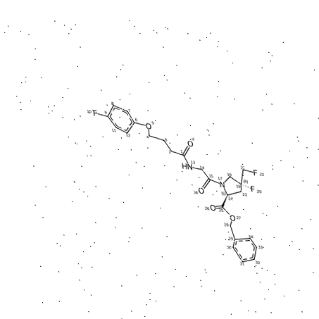 O=C(CCCOc1ccc(F)cc1)NCC(=O)N1C[C@@](F)(CF)C[C@H]1C(=O)OCc1ccccc1